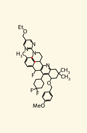 CCOCc1cnc(N2CCC(c3nc4c(c(C5CCC(F)(F)CC5)c3C(F)c3ccc(C)cc3)C(OCc3ccc(OC)cc3)CC(C)(C)C4)CC2)nc1